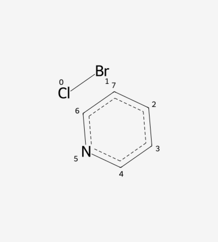 ClBr.c1ccncc1